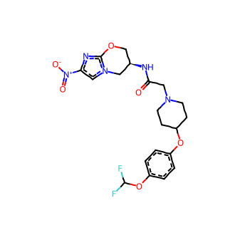 O=C(CN1CCC(Oc2ccc(OC(F)F)cc2)CC1)N[C@@H]1COc2nc([N+](=O)[O-])cn2C1